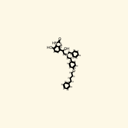 O=c1[nH]c2c(O)ccc(C(O)CN(CCc3ccc(OCCCCc4ccccc4)cc3)Cc3ccccc3)c2s1